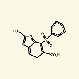 NC1=NC2=CCC(C(=O)O)=C(S(=O)(=O)c3ccccc3)C2=N1